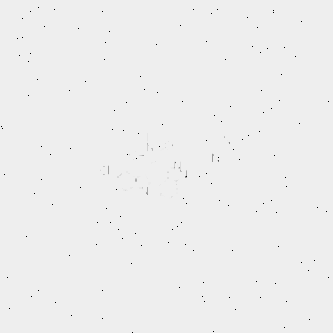 CN1CCN(CCCn2nc(C3=C(c4cn(C)c5ccc(Cl)cc45)C(=O)NC3=O)c3ccccc32)CC1